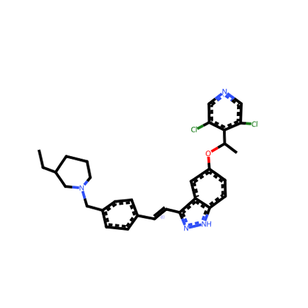 CCC1CCCN(Cc2ccc(/C=C/c3n[nH]c4ccc(OC(C)c5c(Cl)cncc5Cl)cc34)cc2)C1